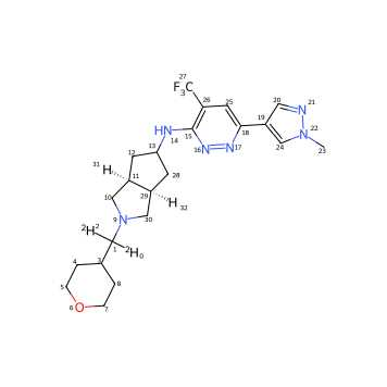 [2H]C([2H])(C1CCOCC1)N1C[C@H]2CC(Nc3nnc(-c4cnn(C)c4)cc3C(F)(F)F)C[C@H]2C1